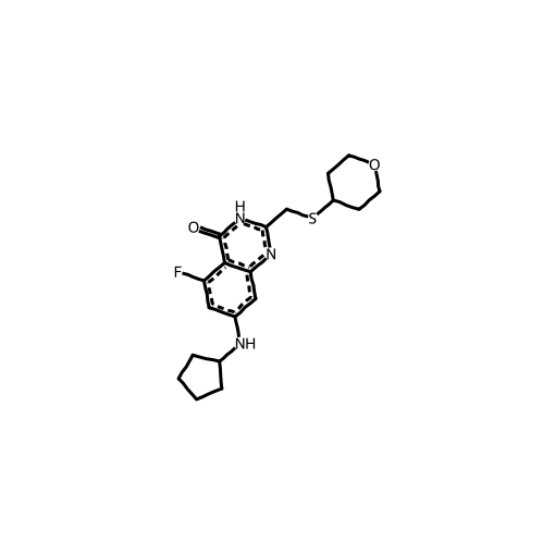 O=c1[nH]c(CSC2CCOCC2)nc2cc(NC3CCCC3)cc(F)c12